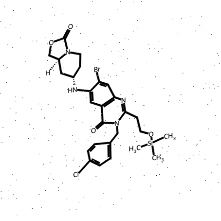 C[Si](C)(C)OCCc1nc2cc(Br)c(N[C@H]3CCN4C(=O)OC[C@@H]4C3)cc2c(=O)n1Cc1ccc(Cl)cc1